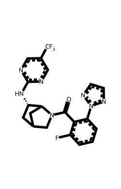 O=C(c1c(F)cccc1-n1nccn1)N1CC2CC1[C@@H](Nc1ncc(C(F)(F)F)cn1)C2